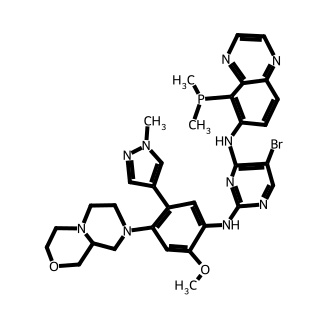 COc1cc(N2CCN3CCOCC3C2)c(-c2cnn(C)c2)cc1Nc1ncc(Br)c(Nc2ccc3nccnc3c2P(C)C)n1